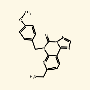 COc1ccc(Cn2c(=O)n3ncnc3c3ccc(CN)nc32)cc1